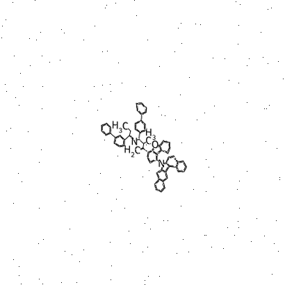 C=C(c1ccc(-n2c3cc4ccccc4cc3c3c4ccccc4ccc32)c2c1oc1ccccc12)C(C)C(/N=C(\CC)c1cccc(-c2ccccc2)c1)c1ccc(-c2ccccc2)cc1